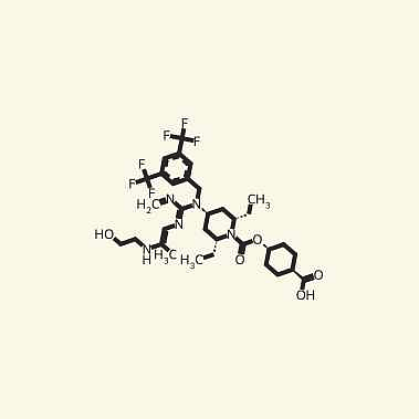 C=N/C(=N\C=C(/C)NCCO)N(Cc1cc(C(F)(F)F)cc(C(F)(F)F)c1)[C@H]1C[C@@H](CC)N(C(=O)O[C@H]2CC[C@H](C(=O)O)CC2)[C@@H](CC)C1